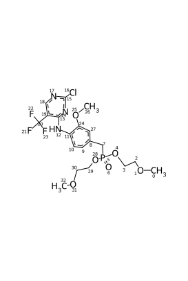 COCCOP(=O)(Cc1ccc(Nc2nc(Cl)ncc2C(F)(F)F)c(OC)c1)OCCOC